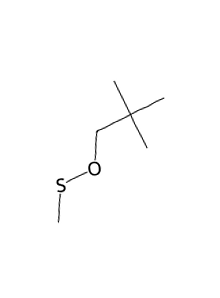 CSOCC(C)(C)C